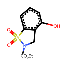 CCOC(=O)N1Cc2c(O)cccc2S1(=O)=O